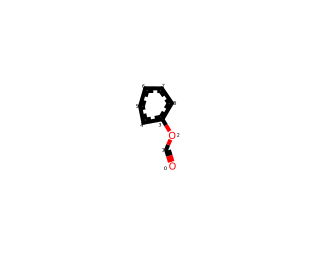 O=COc1c[c]ccc1